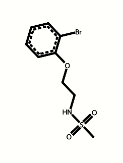 CS(=O)(=O)NCCOc1ccccc1Br